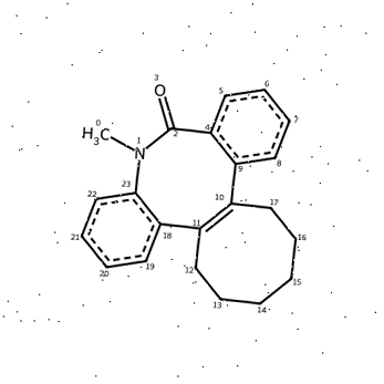 CN1C(=O)c2ccccc2/C2=C(/CCCCCC2)c2ccccc21